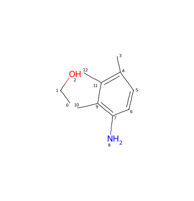 CCO.Cc1ccc(N)c(C)c1C